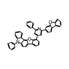 c1ccc(-c2cc(-c3cccc4c3oc3c4ccc4c3c3ccccc3n4-c3ccccc3)cc(-c3ccc4c(c3)oc3ccccc34)n2)cc1